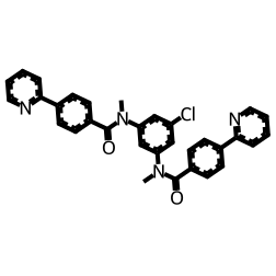 CN(C(=O)c1ccc(-c2ccccn2)cc1)c1cc(Cl)cc(N(C)C(=O)c2ccc(-c3ccccn3)cc2)c1